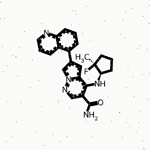 C[C@]1(F)CCC[C@H]1Nc1c(C(N)=O)cnn2cc(-c3cccc4ncccc34)cc12